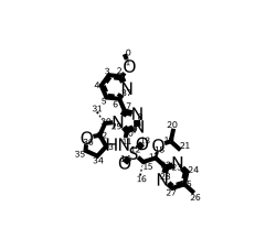 COc1cccc(-c2nnc(NS(=O)(=O)[C@@H](C)[C@@H](OC(C)C)c3ncc(C)cn3)n2[C@@H](C)C2CCCO2)n1